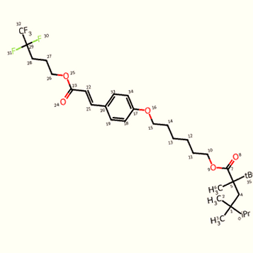 CC(C)C(C)(C)CC(C)(C(=O)OCCCCCCOc1ccc(/C=C/C(=O)OCCCC(F)(F)C(F)(F)F)cc1)C(C)(C)C